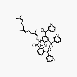 CC(C)=CCCC(C)=CCCC(C)=CCN1C(=O)c2cccc(C(=O)c3cccnc3)c2Nc2c(C(=O)c3cccnc3)cc(C(=O)c3cccnc3)cc21